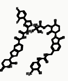 Cc1ccc(NC(=O)NCc2ccc3c(c2)CN(C2CCC(=O)N(COC(=O)C(C)(C)C)C2=O)C3=O)cc1Cl.O=C1CCC(N2Cc3ccc(C(=O)NC(=O)Nc4nc(-c5ccc(F)cc5F)cs4)cc3C2)C(=O)N1